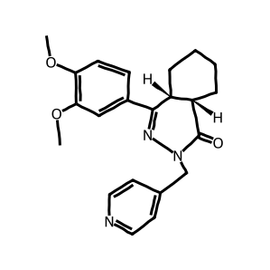 COc1ccc(C2=NN(Cc3ccncc3)C(=O)[C@H]3CCCC[C@@H]23)cc1OC